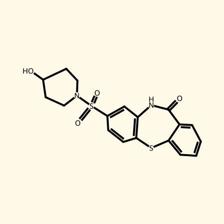 O=C1Nc2cc(S(=O)(=O)N3CCC(O)CC3)ccc2Sc2ccccc21